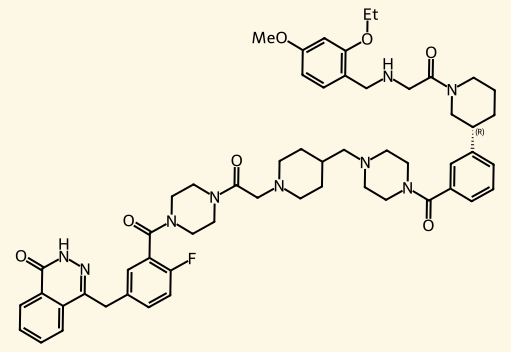 CCOc1cc(OC)ccc1CNCC(=O)N1CCC[C@H](c2cccc(C(=O)N3CCN(CC4CCN(CC(=O)N5CCN(C(=O)c6cc(Cc7n[nH]c(=O)c8ccccc78)ccc6F)CC5)CC4)CC3)c2)C1